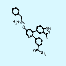 Cc1n[nH]c2ccc(-c3cc(OC[C@H](N)Cc4ccccc4)cnc3-c3cccc(C(N)=O)c3)cc12